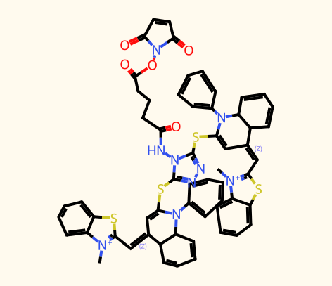 C[n+]1c(/C=C2\C=C(Sc3nnc(SC4=C/C(=C\c5sc6ccccc6[n+]5C)C5C=CC=CC5N4c4ccccc4)n3NC(=O)CCCC(=O)ON3C(=O)C=CC3=O)N(c3ccccc3)C3C=CC=CC23)sc2ccccc21